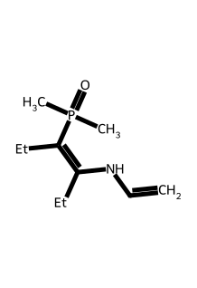 C=CN/C(CC)=C(/CC)P(C)(C)=O